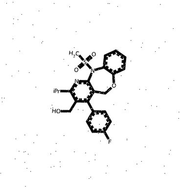 CC(C)c1nc2c(c(-c3ccc(F)cc3)c1CO)COc1ccccc1N2S(C)(=O)=O